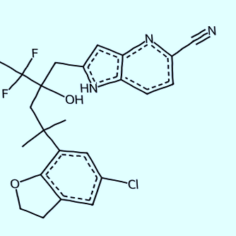 CC(C)(CC(O)(Cc1cc2nc(C#N)ccc2[nH]1)C(F)(F)F)c1cc(Cl)cc2c1OCC2